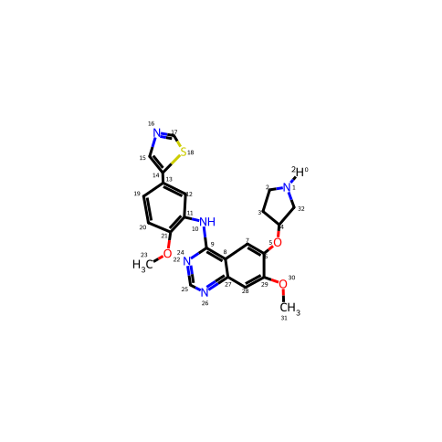 [2H]N1CCC(Oc2cc3c(Nc4cc(-c5cncs5)ccc4OC)ncnc3cc2OC)C1